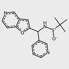 CC(C)(C)[S+]([O-])NC(c1cccnc1)c1cc2cnccc2o1